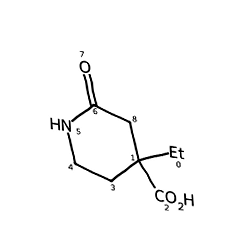 CCC1(C(=O)O)CCNC(=O)C1